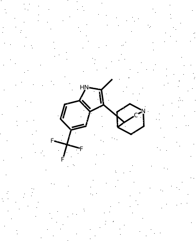 Cc1[nH]c2ccc(C(F)(F)F)cc2c1C1CN2CCC1CC2